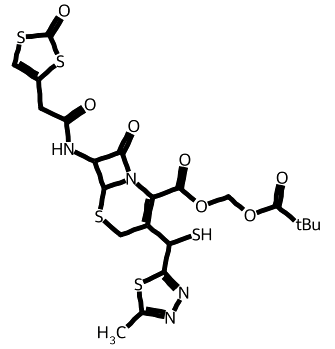 Cc1nnc(C(S)C2=C(C(=O)OCOC(=O)C(C)(C)C)N3C(=O)C(NC(=O)Cc4csc(=O)s4)C3SC2)s1